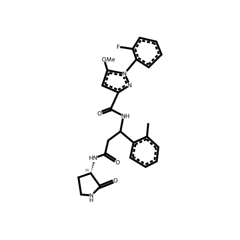 COc1cc(C(=O)NC(CC(=O)N[C@H]2CCNC2=O)c2ccccc2C)nn1-c1ccccc1F